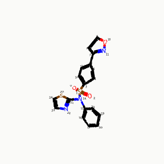 O=S(=O)(c1ccc(-c2ccon2)cc1)N(c1ccccc1)c1nccs1